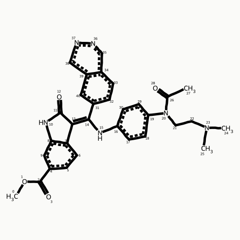 COC(=O)c1ccc2c(c1)NC(=O)C2=C(Nc1ccc(N(CCN(C)C)C(C)=O)cc1)c1ccc2cnncc2c1